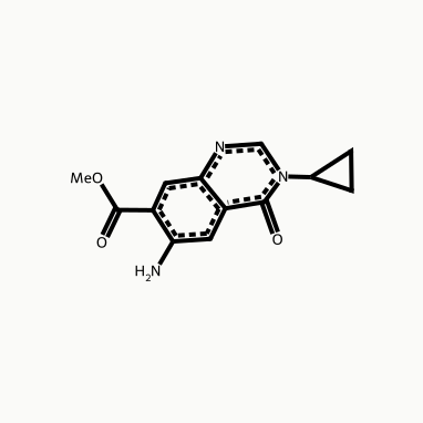 COC(=O)c1cc2ncn(C3CC3)c(=O)c2cc1N